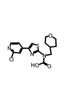 O=C(O)N(CC1CCOCC1)c1nc(-c2ccnc(Cl)c2)cs1